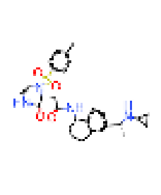 Cc1ccc(S(=O)(=O)N2C=CNC(=O)[C@H]2CC(=O)NC2CCCc3cc([C@@H](C)NC4CC4)ccc32)cc1